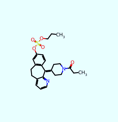 CCCOS(=O)(=O)Oc1ccc2c(c1)CCc1cccnc1C2=C1CCN(C(=O)CC)CC1